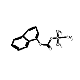 C[Si](C)(C)OC(=O)Oc1cccc2ccccc12